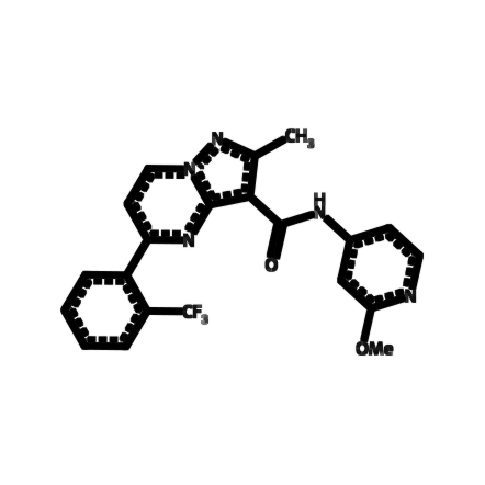 COc1cc(NC(=O)c2c(C)nn3ccc(-c4ccccc4C(F)(F)F)nc23)ccn1